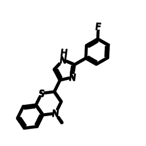 CN1CC(c2c[nH]c(-c3cccc(F)c3)n2)Sc2ccccc21